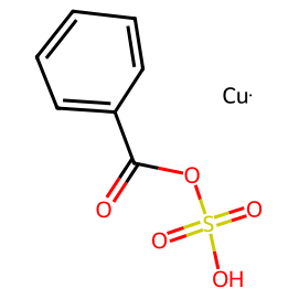 O=C(OS(=O)(=O)O)c1ccccc1.[Cu]